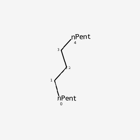 CCCCCC[CH]CCCCCC